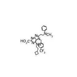 CN(CCc1nc2nc(C(=O)O)nc(NCCC3CCC3)c2n1Cc1ccc(C(F)(F)F)cc1)c1ccccc1